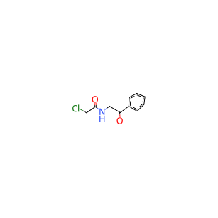 O=C(CCl)NCC(=O)c1ccccc1